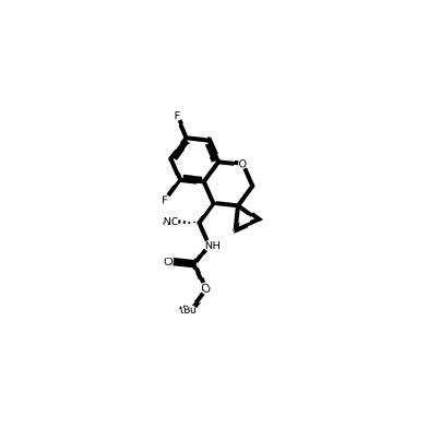 CC(C)(C)OC(=O)N[C@H](C#N)C1c2c(F)cc(F)cc2OCC12CC2